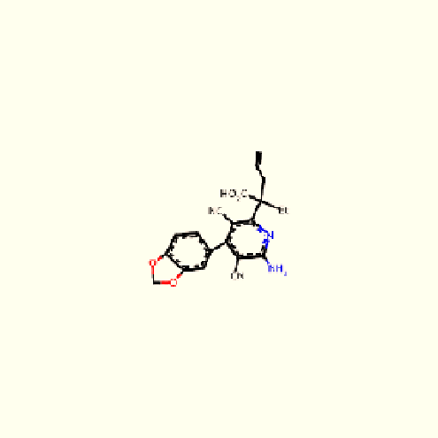 C=CCC(CC)(C(=O)O)c1nc(N)c(C#N)c(-c2ccc3c(c2)OCO3)c1C#N